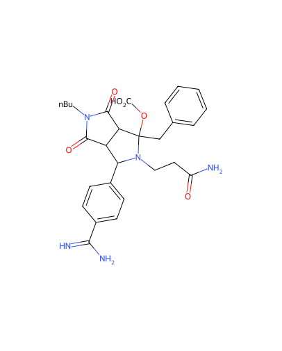 CCCCN1C(=O)C2C(c3ccc(C(=N)N)cc3)N(CCC(N)=O)C(Cc3ccccc3)(OC(=O)O)C2C1=O